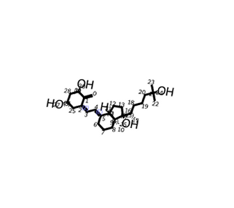 C=C1/C(=C\C=C2/CCC[C@@]3(C)[C@H]2CC[C@]3(O)[C@@H](C)CCCC(C)(C)O)C[C@H](O)C[C@H]1O